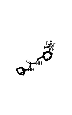 O=C(NCc1cccc(S(F)(F)(F)(F)F)c1)NC1CC2CC1C2